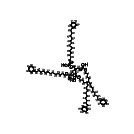 OP(OCCCCCCCCCCCCCc1ccccc1)OCC(COP(O)OCCCCCCCCCCCCCc1ccccc1)(COP(O)OCCCCCCCCCCCCCc1ccccc1)COP(O)OCCCCCCCCCCCCCc1ccccc1